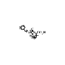 CC1(C)[C@H](C(=O)O)N2C(=O)[C@@H](CNCc3cccnc3)[C@H]2S1(=O)=O